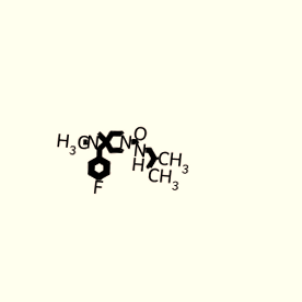 CC[C@H](C)CNC(=O)N1CCC2(CC1)CN(C)C2c1ccc(F)cc1